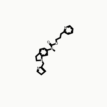 CN(C(=O)OCCCc1ccccn1)c1ccc2c(c1)N(CC1=CCC=N1)CC2